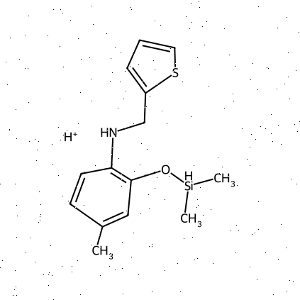 Cc1ccc(NCc2cccs2)c(O[SiH](C)C)c1.[H+]